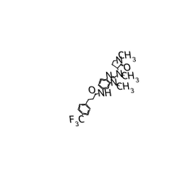 CN1CCC(N(C)c2nc3ccc(NC(=O)CCc4ccc(C(F)(F)F)cc4)cc3n2C)C1=O